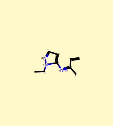 C=C/C(C)=N\c1ccnn1CC